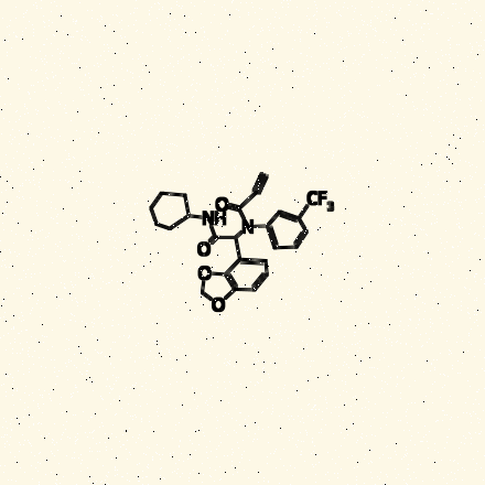 C#CC(=O)N(c1cccc(C(F)(F)F)c1)C(C(=O)NC1CCCCC1)c1cccc2c1OCO2